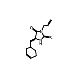 C=CCN1C(=O)C(=CC2CC=CCC2)NC1=S